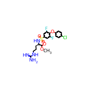 COC(=O)[C@@H](CCCNC(=N)N)NS(=O)(=O)c1cc(F)c(Oc2ccc(Cl)cc2)c(F)c1